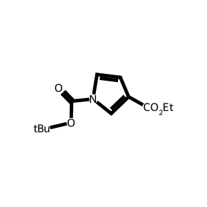 CCOC(=O)c1ccn(C(=O)OC(C)(C)C)c1